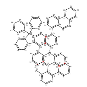 c1ccc(-c2cccc3cccc(-c4ccccc4N(c4ccc(-c5cccc6c5ccc5ccccc56)cc4)c4ccccc4-c4cccc5c4-c4ccccc4C5(c4ccccc4)c4ccccc4)c23)cc1